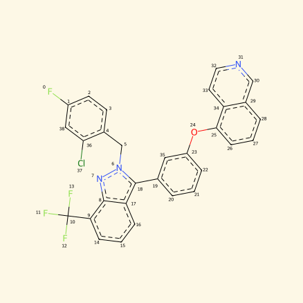 Fc1ccc(Cn2nc3c(C(F)(F)F)cccc3c2-c2cccc(Oc3cccc4cnccc34)c2)c(Cl)c1